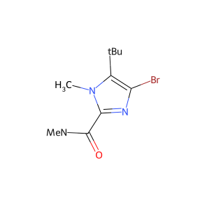 CNC(=O)c1nc(Br)c(C(C)(C)C)n1C